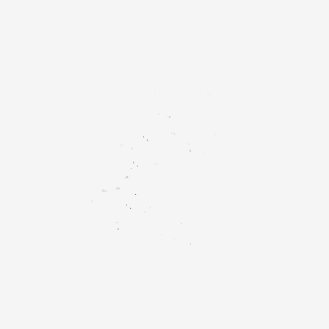 CC(C)(C)OC(=O)N(C(=O)OC(C)(C)C)c1ccn([C@@H]2CC[C@H]3CC(=O)N(C(=O)OC(C)(C)C)[C@@H]2C3)c(=O)n1